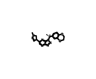 C[C@H](c1ccc2c(c1)OCCO2)n1nnc2ncc(C3C=NN(C)C3)nc21